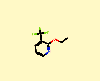 CCOc1ncccc1C(F)(F)F